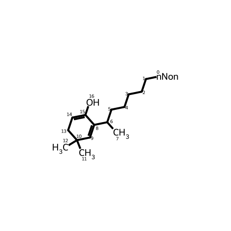 CCCCCCCCCCCCCCC(C)C1=CC(C)(C)CC=C1O